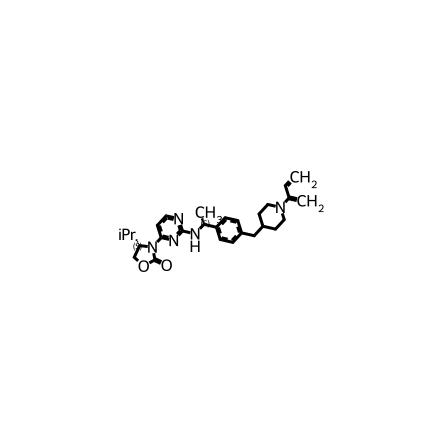 C=CC(=C)N1CCC(Cc2ccc([C@H](C)Nc3nccc(N4C(=O)OC[C@@H]4C(C)C)n3)cc2)CC1